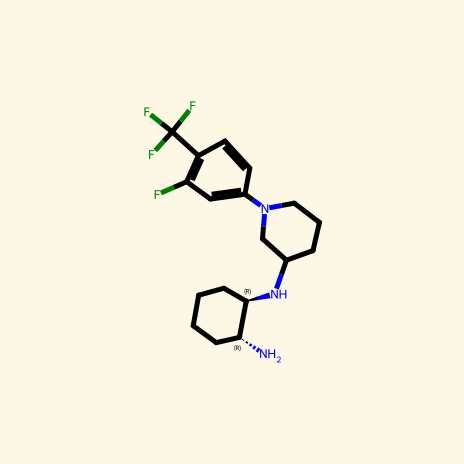 N[C@@H]1CCCC[C@H]1NC1CCCN(c2ccc(C(F)(F)F)c(F)c2)C1